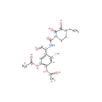 CCN1CCN(C(=O)NC([C]=O)c2cc(OC(C)=O)c(OC(C)=O)cc2F)C(=O)C1=O